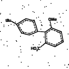 COc1cccc(C(=O)O)c1-c1ccc(C(C)(C)C)cc1